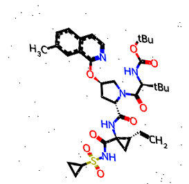 C=C[C@@H]1C[C@]1(NC(=O)[C@@H]1C[C@@H](Oc2nccc3ccc(C)cc23)CN1C(=O)[C@@H](NC(=O)OC(C)(C)C)C(C)(C)C)C(=O)NS(=O)(=O)C1CC1